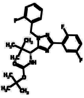 CC(C)(C)OC(=O)N[C@@H](c1nc(-c2cc(F)ccc2F)nn1Cc1ccccc1F)C(C)(C)C